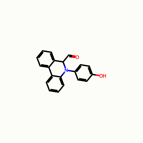 O=CC1c2ccccc2-c2ccccc2N1c1ccc(O)cc1